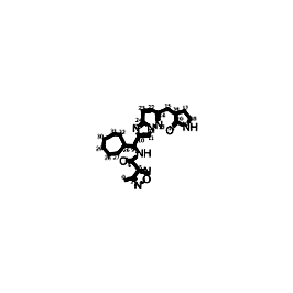 Cc1nonc1C(=O)NC(c1cn2nc(CC3CCNC3=O)ccc2n1)C1CCCCCC1